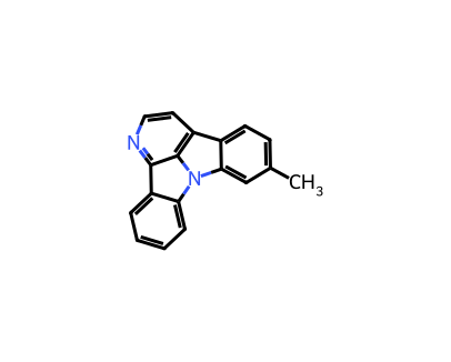 Cc1ccc2c3ccnc4c5ccccc5n(c2c1)c34